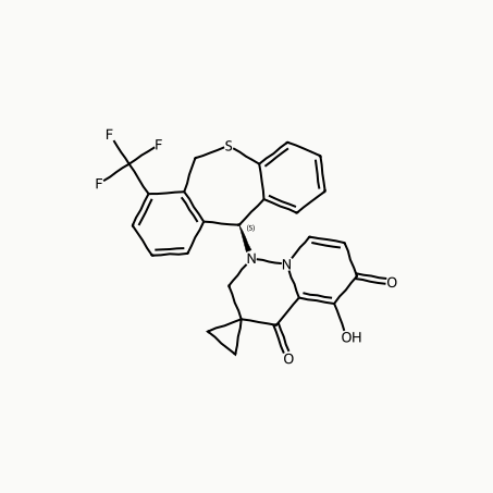 O=C1c2c(O)c(=O)ccn2N([C@@H]2c3ccccc3SCc3c2cccc3C(F)(F)F)CC12CC2